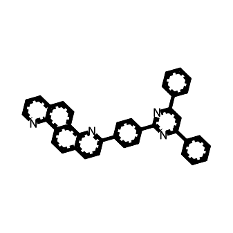 c1ccc(-c2cc(-c3ccccc3)nc(-c3ccc(-c4ccc5ccc6c(ccc7cccnc76)c5n4)cc3)n2)cc1